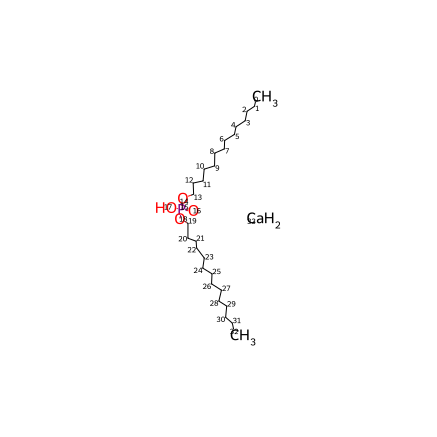 CCCCCCCCCCCCCCOP(=O)(O)OCCCCCCCCCCCCCC.[CaH2]